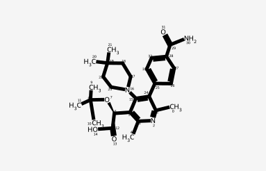 Cc1nc(C)c([C@H](OC(C)(C)C)C(=O)O)c(N2CCC(C)(C)CC2)c1-c1ccc(C(N)=O)cc1